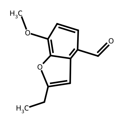 CCc1cc2c(C=O)ccc(OC)c2o1